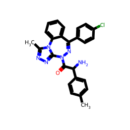 Cc1ccc(C(N)C(=O)N2N=C(c3ccc(Cl)cc3)c3ccccc3-n3c(C)nnc32)cc1